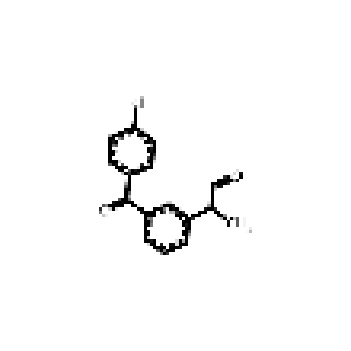 CC(C=O)c1cccc(C(=O)c2ccc(Cl)cc2)c1